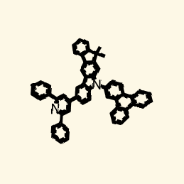 CC1(C)c2ccccc2-c2cc3c4cc(-c5cc(-c6ccccc6)nc(-c6ccccc6)c5)ccc4n(-c4ccc5c6ccccc6c6ccccc6c5c4)c3cc21